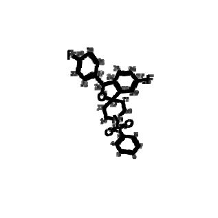 O=S(=O)(c1ccccc1)N1CCC2(CC1)OC(c1ccc(F)cc1)c1ccc(F)cc12